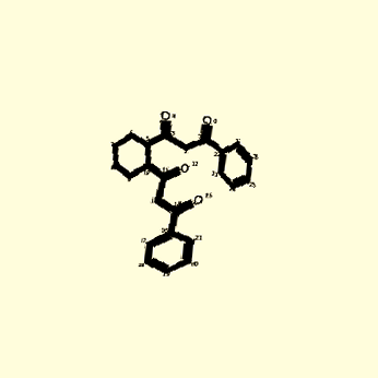 O=C(CC(=O)C1CCCCC1C(=O)CC(=O)c1ccccc1)c1ccccc1